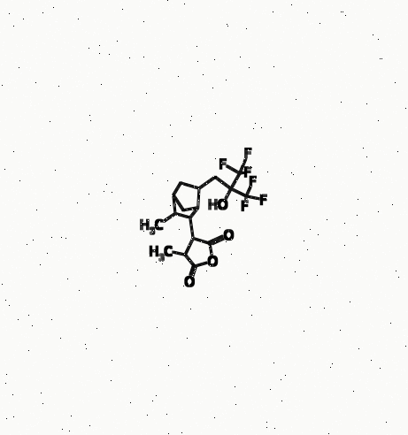 CC1C(=O)OC(=O)C1C1C(C)C2CC(CC(O)(C(F)(F)F)C(F)(F)F)C1C2